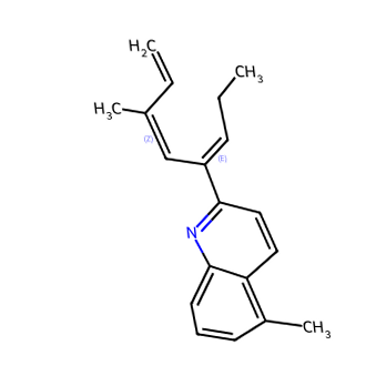 C=C/C(C)=C\C(=C/CC)c1ccc2c(C)cccc2n1